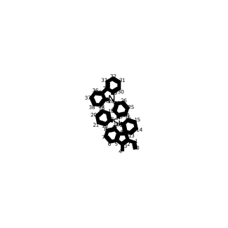 C=CC1=C(C)c2cccc([Si](c3ccccc3)(c3ccccc3)c3cccc(-n4c5ccccc5c5ccccc54)c3)c2C1